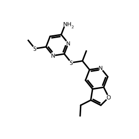 CCc1coc2cnc(C(C)Sc3nc(N)cc(SC)n3)cc12